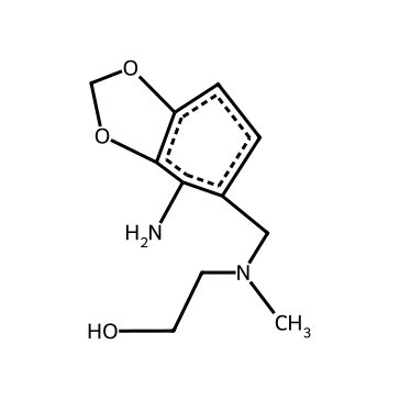 CN(CCO)Cc1ccc2c(c1N)OCO2